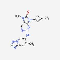 Cc1cc2ncnn2cc1Nc1ncc2c(n1)n(C13CC(C(F)(F)F)(C1)C3)c(=O)n2C